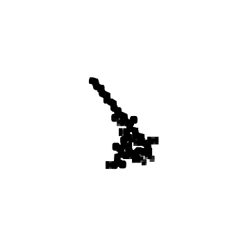 CCCOCCOCCOC(=O)CNC(=O)[C@H](CCCNC(=N)N)NC(=O)CNC(=O)[C@H](CC(=O)O)NC(=O)[C@@H](N)CO